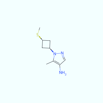 CS[C@H]1C[C@@H](n2ncc(N)c2C)C1